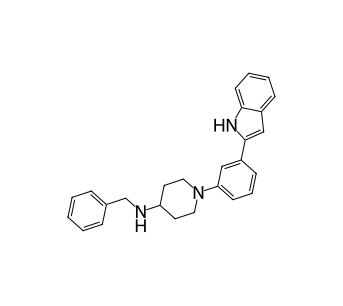 c1ccc(CNC2CCN(c3cccc(-c4cc5ccccc5[nH]4)c3)CC2)cc1